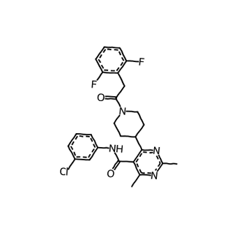 Cc1nc(C)c(C(=O)Nc2cccc(Cl)c2)c(C2CCN(C(=O)Cc3c(F)cccc3F)CC2)n1